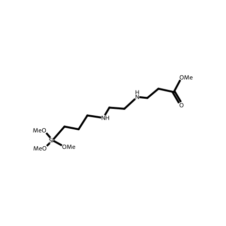 COC(=O)CCNCCNCCC[Si](OC)(OC)OC